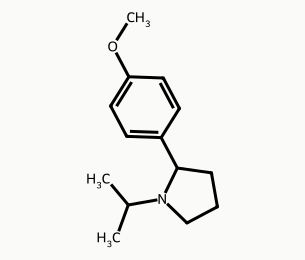 COc1ccc(C2CCCN2C(C)C)cc1